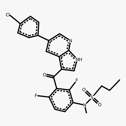 CCCS(=O)(=O)N(C)c1ccc(F)c(C(=O)c2c[nH]c3ncc(-c4ccc(Cl)cc4)cc23)c1F